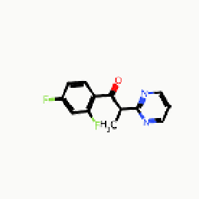 CC(C(=O)c1ccc(F)cc1F)c1ncccn1